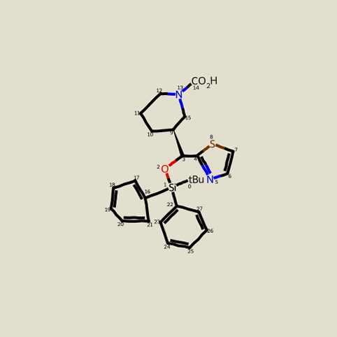 CC(C)(C)[Si](OC(c1nccs1)[C@H]1CCCN(C(=O)O)C1)(c1ccccc1)c1ccccc1